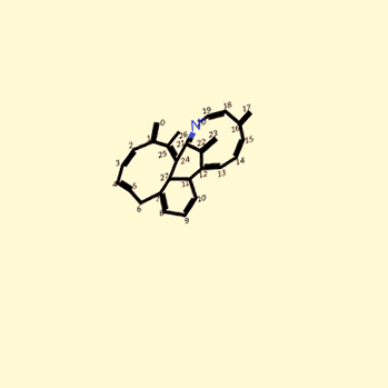 C=C1/C=C\C=C/CC2=CC=CC3c4cccc(=C)ccnc(c4=C)/C(=C/1C)C23